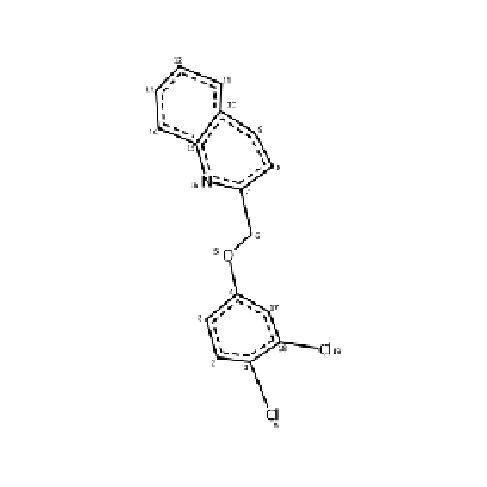 Clc1ccc(OCc2ccc3ccccc3n2)cc1Cl